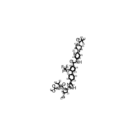 COC(=O)N[C@H](C(=O)N1C[C@@H](SC)C[C@H]1c1nc(-c2ccc(-c3ccc(C(=O)Nc4ccc(N5CCN(C(=O)C(C)(C)C)C[C@H]5C)nc4)cc3OC(F)(F)F)cc2)c[nH]1)C(C)C